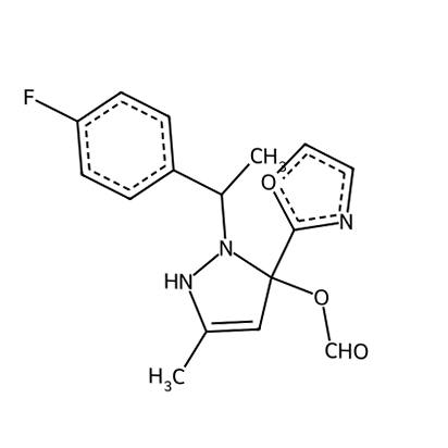 CC1=CC(OC=O)(c2ncco2)N(C(C)c2ccc(F)cc2)N1